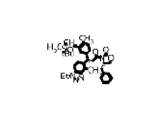 CCn1nnc2c(C)c([C@H](CC(=O)N3C(=O)OC[C@@H]3Cc3ccccc3)c3ccc(C)c(CO[Si](C)(C)C(C)(C)C)c3)ccc21